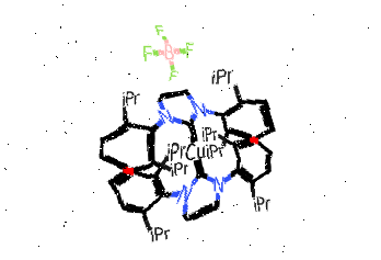 CC(C)c1cccc(C(C)C)c1-n1ccn(-c2c(C(C)C)cccc2C(C)C)[c]1=[Cu]=[c]1n(-c2c(C(C)C)cccc2C(C)C)ccn1-c1c(C(C)C)cccc1C(C)C.F[B-](F)(F)F